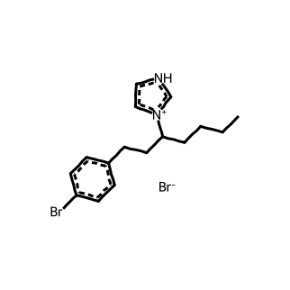 CCCCC(CCc1ccc(Br)cc1)[n+]1cc[nH]c1.[Br-]